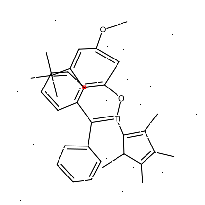 COc1cc([O][Ti]([C]2=C(C)C(C)=C(C)C2C)=[C](c2ccccc2)c2ccccc2)cc(C(C)(C)C)c1